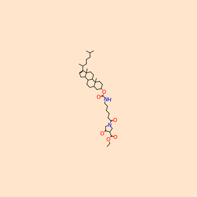 CCOC(=O)C1CN(C(=O)CCCCCNC(=O)OC2CCC3(C)C(CCC4C5CC=C(C(C)CCCC(C)C)C5(C)CCC43)C2)CC1=O